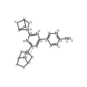 CC(=O)N1C2CCC1CC(c1cc(-c3cnc(N)nc3)nc(N3CC4CC3C4)n1)C2